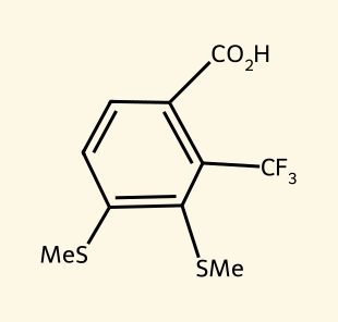 CSc1ccc(C(=O)O)c(C(F)(F)F)c1SC